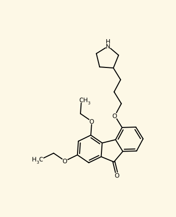 CCOc1cc(OCC)c2c(c1)C(=O)c1cccc(OCCCC3CCNC3)c1-2